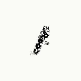 N#CCNC(=O)C1CCCCC1CS(=O)(=O)c1ccc(-c2ccc(N3CCNCC3)cc2)cc1.[Fe]